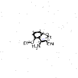 CCOc1cccc(OCC)c1/C(N)=C/C#N